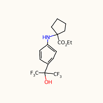 CCOC(=O)C1(Nc2ccc(C(O)(C(F)(F)F)C(F)(F)F)cc2)CCCC1